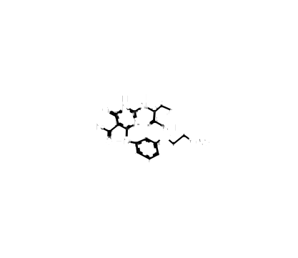 COCCOc1cccc(Nc2nc(NC(CC(C)C)C(N)=O)[nH]c(=O)c2C(N)=O)c1